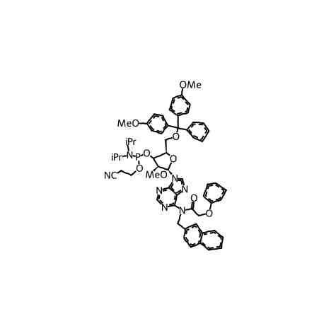 COc1ccc(C(OC[C@H]2O[C@@H](n3cnc4c(N(Cc5ccc6ccccc6c5)C(=O)COc5ccccc5)ncnc43)[C@@H](OC)C2OP(OCCC#N)N(C(C)C)C(C)C)(c2ccccc2)c2ccc(OC)cc2)cc1